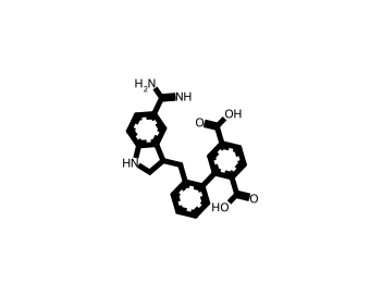 N=C(N)c1ccc2c(c1)C(Cc1ccccc1-c1cc(C(=O)O)ccc1C(=O)O)CN2